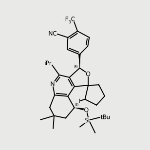 CC(C)c1nc2c(c3c1[C@@H](c1ccc(C(F)(F)F)c(C#N)c1)OC31CCCC1I)[C@@H](O[Si](C)(C)C(C)(C)C)CC(C)(C)C2